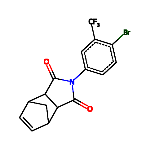 O=C1C2C3C=CC(C3)C2C(=O)N1c1ccc(Br)c(C(F)(F)F)c1